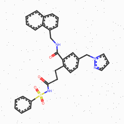 O=C(CCc1ccc(Cn2cccn2)cc1C(=O)NCc1cccc2ccccc12)NS(=O)(=O)c1ccccc1